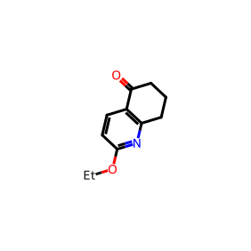 CCOc1ccc2c(n1)CCCC2=O